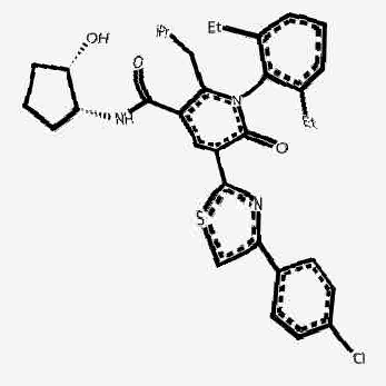 CCc1cccc(CC)c1-n1c(CC(C)C)c(C(=O)N[C@@H]2CCC[C@@H]2O)cc(-c2nc(-c3ccc(Cl)cc3)cs2)c1=O